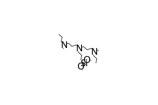 CCCN(C)CCCN(CCCN(C)CCC)CCC[Si](C)(OC)OC